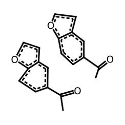 CC(=O)c1ccc2occc2c1.CC(=O)c1ccc2occc2c1